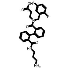 NCCCNC(=O)c1ccccc1-c1ccccc1C(=O)N(CCC(=O)O)Cc1cc(F)ccc1F